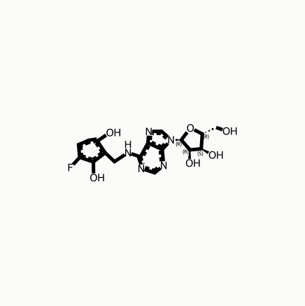 OC[C@H]1O[C@@H](n2cnc3c(NCc4c(O)ccc(F)c4O)ncnc32)[C@H](O)[C@@H]1O